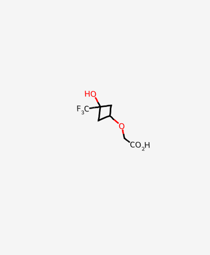 O=C(O)COC1CC(O)(C(F)(F)F)C1